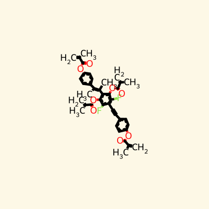 C=C(C)C(=O)Oc1ccc(C#Cc2c(F)c(OC(=O)C(=C)C)c(/C(C)=C(\C)c3ccc(OC(=O)C(=C)C)cc3)c(OC(=O)C(=C)C)c2F)cc1